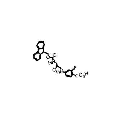 O=C(CNC(=O)OCC1c2ccccc2-c2ccccc21)CNc1ccc(C(=O)O)c(F)c1